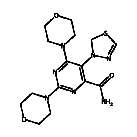 NC(=O)c1nc(N2CCOCC2)nc(N2CCOCC2)c1N1CSC=N1